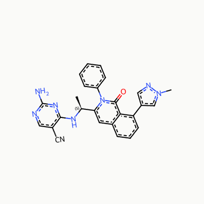 C[C@H](Nc1nc(N)ncc1C#N)c1cc2cccc(-c3cnn(C)c3)c2c(=O)n1-c1ccccc1